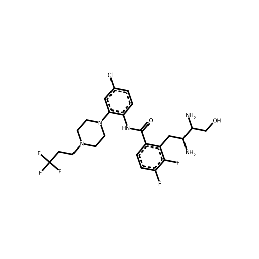 NC(CO)C(N)Cc1c(C(=O)Nc2ccc(Cl)cc2N2CCN(CCC(F)(F)F)CC2)ccc(F)c1F